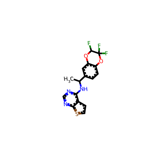 CC(Nc1ncnc2sccc12)c1ccc2c(c1)OC(F)C(F)(F)O2